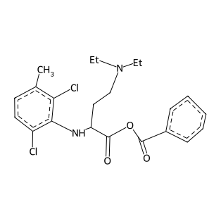 CCN(CC)CCC(Nc1c(Cl)ccc(C)c1Cl)C(=O)OC(=O)c1ccccc1